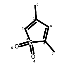 CC1=CS(=O)(=O)C(C)=C1